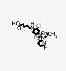 COCN(c1cccc(F)n1)S(=O)(=O)c1cc(Cl)c(NCCCCC(=O)O)cc1F